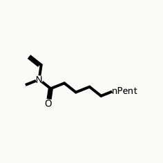 C=CN(C)C(=O)CCCCCCCCC